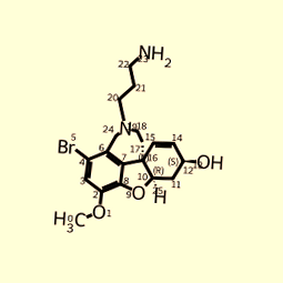 COc1cc(Br)c2c3c1O[C@@H]1C[C@H](O)C=C[C@]31CCN(CCCN)C2